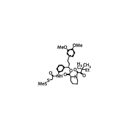 CCC(C)(C)C(=O)C(=O)N1CCCC[C@H]1C(=O)O[C@H](CCc1ccc(OC)c(OC)c1)c1cccc(NC(=O)CSSC)c1